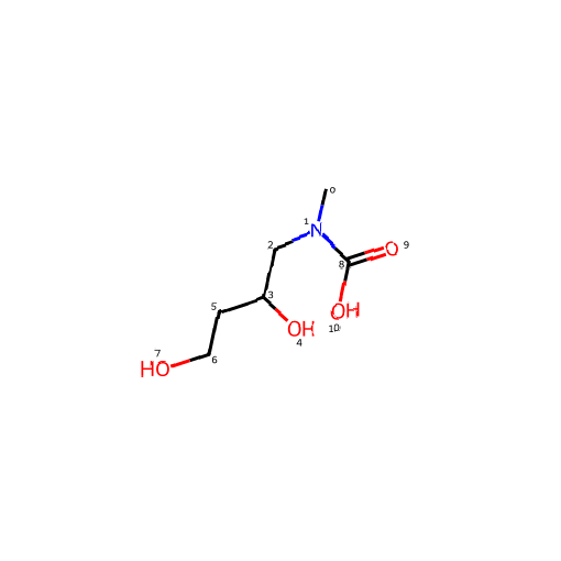 CN(CC(O)CCO)C(=O)O